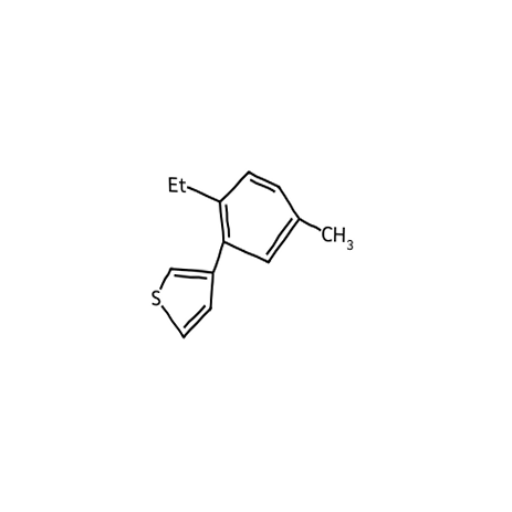 CCc1ccc(C)cc1-c1ccsc1